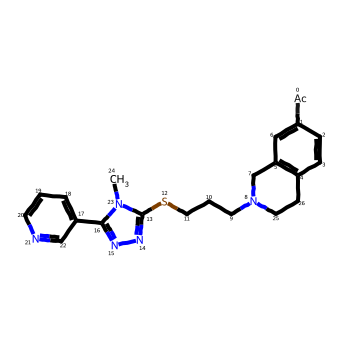 CC(=O)c1ccc2c(c1)CN(CCCSc1nnc(-c3cccnc3)n1C)CC2